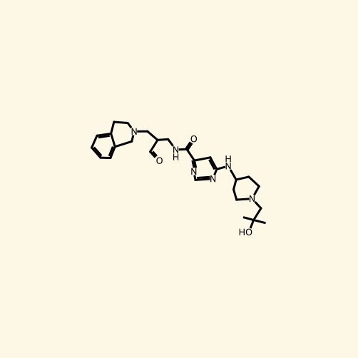 CC(C)(O)CN1CCC(Nc2cc(C(=O)NCC(C=O)CN3CCc4ccccc4C3)ncn2)CC1